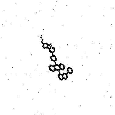 CCCCc1ccc2c(c1)sc1ccc(-c3ccc(-c4c5ccccc5c(-c5cccc6ccc(-c7ccccc7)cc56)c5ccccc45)cc3)cc12